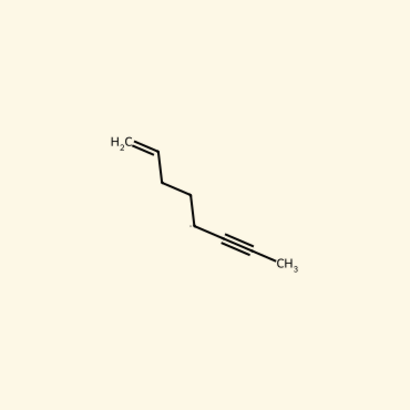 C=CCC[CH]C#CC